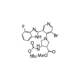 COC(=O)C1CN(c2c(Br)cncc2-c2nc3c(F)cccc3[nH]2)CC1NC(=O)OC(C)(C)C